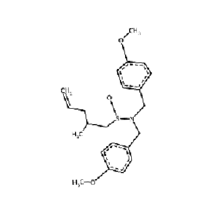 C=CCC(C)C[S+]([O-])N(Cc1ccc(OC)cc1)Cc1ccc(OC)cc1